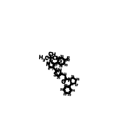 CC(C)(C)n1ncc(-c2nc(CC(=O)N3CCCC3c3ccccc3)cs2)c1-c1ccc(F)cc1